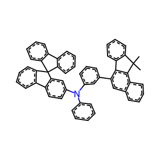 CC1(C)c2ccccc2-c2c(-c3cccc(N(c4ccccc4)c4ccc5c(c4)C4(c6ccccc6-c6ccccc64)c4ccccc4-5)c3)cc3ccccc3c21